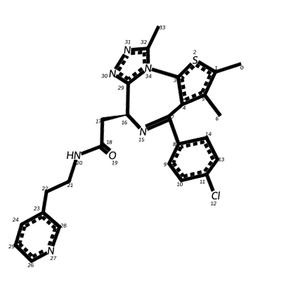 Cc1sc2c(c1C)C(c1ccc(Cl)cc1)=N[C@@H](CC(=O)NCCc1cccnc1)c1nnc(C)n1-2